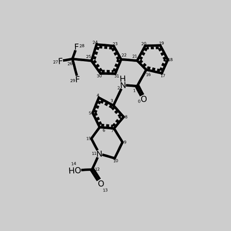 O=C(Nc1ccc2c(c1)CCN(C(=O)O)C2)c1ccccc1-c1ccc(C(F)(F)F)cc1